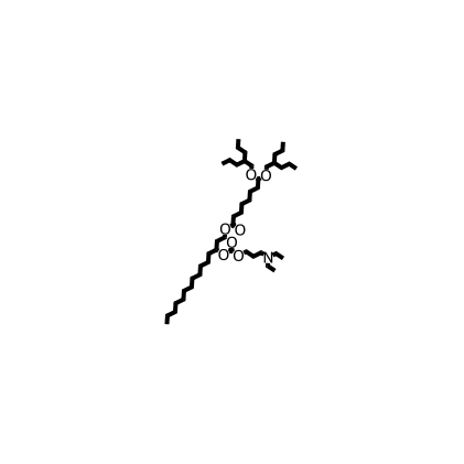 CCCCCCCCCCCCC(CCOC(=O)CCCCCCC(OCC(CCC)CCC)OCC(CCC)CCC)OC(=O)OCCCN(CC)CC